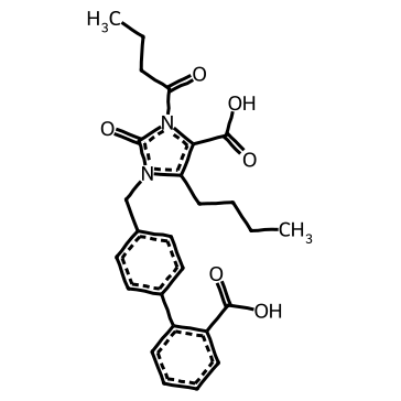 CCCCc1c(C(=O)O)n(C(=O)CCC)c(=O)n1Cc1ccc(-c2ccccc2C(=O)O)cc1